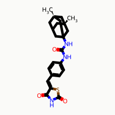 C[C@]12CC3CC(NC(=O)Nc4ccc(/C=C5\SC(=O)NC5=O)cc4)(C1)C[C@@](C)(C3)C2